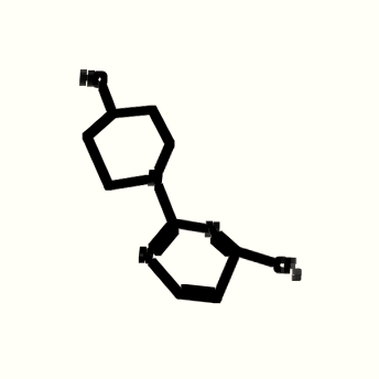 OC1CCN(c2nccc(C(F)(F)F)n2)CC1